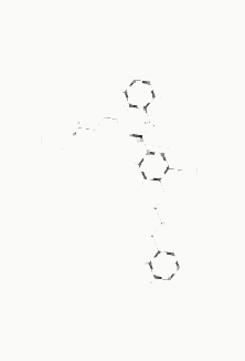 Cc1c(OCCCc2ccccc2)ccc(C(=O)Nc2ccccc2OCCCC(=O)O)c1C